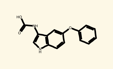 O=C(O)Nc1c[nH]c2ccc(Oc3ccccc3)cc12